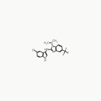 CN(C)n1c(Nc2c[nH]c3ccc(Cl)cc23)nc2cc(C(F)(F)F)ccc21